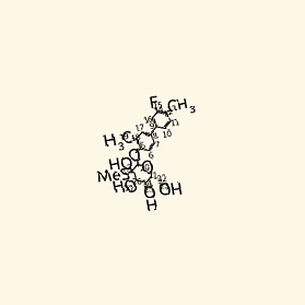 CS[C@@]1(O)C(Oc2ccc(-c3ccc(C)c(F)c3)cc2C)O[C@H](CO)C(O)[C@@H]1O